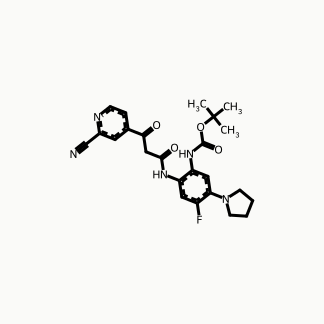 CC(C)(C)OC(=O)Nc1cc(N2CCCC2)c(F)cc1NC(=O)CC(=O)c1ccnc(C#N)c1